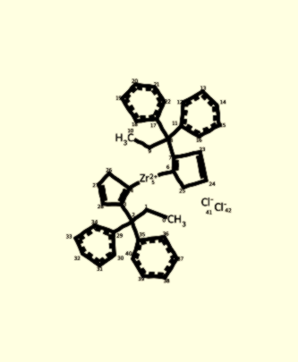 CCC(C1=[C]([Zr+2][C]2=C(C(CC)(c3ccccc3)c3ccccc3)C=CC2)CC=C1)(c1ccccc1)c1ccccc1.[Cl-].[Cl-]